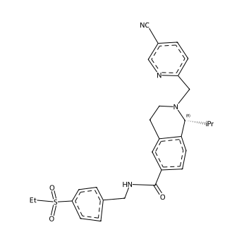 CCS(=O)(=O)c1ccc(CNC(=O)c2ccc3c(c2)CCN(Cc2ccc(C#N)cn2)[C@@H]3C(C)C)cc1